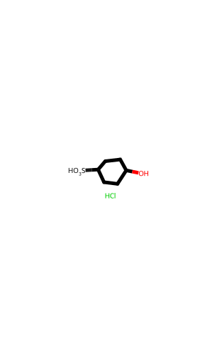 Cl.O=S(=O)(O)C1CCC(O)CC1